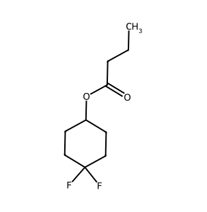 CCCC(=O)OC1CCC(F)(F)CC1